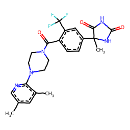 Cc1cnc(N2CCN(C(=O)c3ccc(C4(C)NC(=O)NC4=O)cc3C(F)(F)F)CC2)c(C)c1